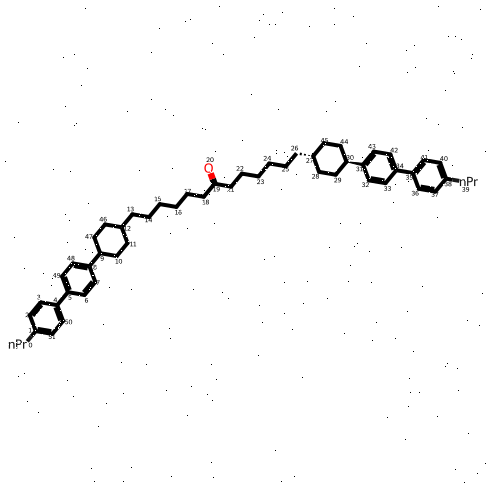 CCCc1ccc(-c2ccc(C3CCC(CCCCCCC(=O)CCCCCC[C@H]4CC[C@H](c5ccc(-c6ccc(CCC)cc6)cc5)CC4)CC3)cc2)cc1